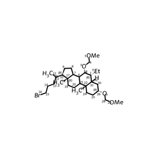 CC[C@H]1[C@@H](OCOC)C2C3CC[C@H]([C@H](C)CCCBr)[C@@]3(C)CCC2[C@@]2(C)CC[C@@H](OCOC)C[C@@H]12